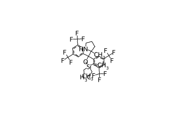 CC[Si](CC)(CC)OC(c1cc(C(F)(F)F)cc(C(F)(F)F)c1)(c1cc(C(F)(F)F)cc(C(F)(F)F)c1)C1(C)CCCN1